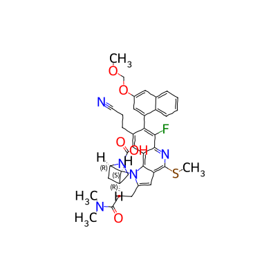 COCOc1cc(-c2c(CCC#N)cc3c(nc(SC)c4cc(CCC(=O)N(C)C)n([C@H]5[C@@H]6C[C@H]5N(C(=O)O)C6)c43)c2F)c2ccccc2c1